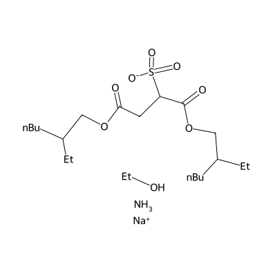 CCCCC(CC)COC(=O)CC(C(=O)OCC(CC)CCCC)S(=O)(=O)[O-].CCO.N.[Na+]